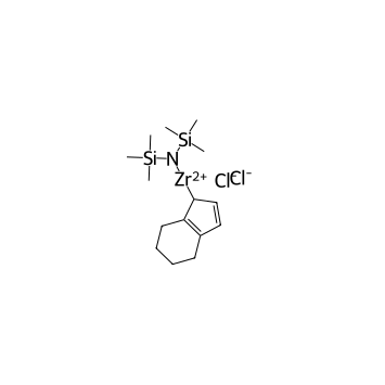 C[Si](C)(C)[N]([Zr+2][CH]1C=CC2=C1CCCC2)[Si](C)(C)C.[Cl-].[Cl-]